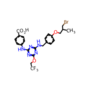 CC(CBr)COc1ccc(CNc2nc(Nc3ccc(C(=O)O)cc3)nc(OCC(F)(F)F)n2)cc1